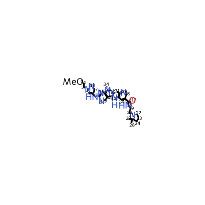 COCCn1cc(Nc2ncc3c(Nc4cc(C(=O)NCCN5CCCC5(C)C)cnc4C)nn(C)c3n2)cn1